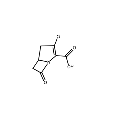 O=C(O)C1=C(Cl)CC2CC(=O)N12